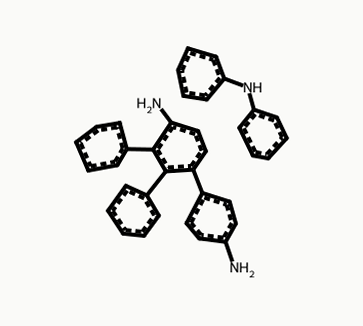 Nc1ccc(-c2ccc(N)c(-c3ccccc3)c2-c2ccccc2)cc1.c1ccc(Nc2ccccc2)cc1